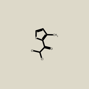 Cc1ccsc1C(=O)C(Cl)Cl